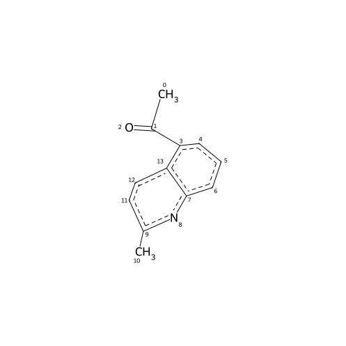 CC(=O)c1cccc2nc(C)ccc12